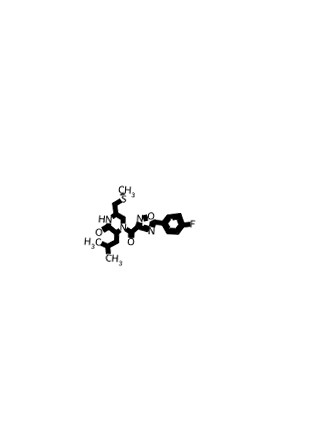 CSCC1CN(C(=O)c2noc(-c3ccc(F)cc3)n2)C(CC(C)C)C(=O)N1